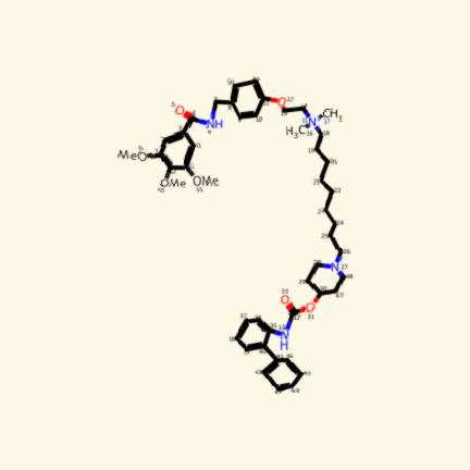 COc1cc(C(=O)NCc2ccc(OCC[N+](C)(C)CCCCCCCCCN3CCC(OC(=O)Nc4ccccc4-c4ccccc4)CC3)cc2)cc(OC)c1OC